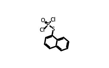 O=P(Cl)(Cl)Sc1cccc2ccccc12